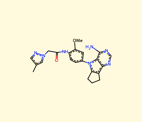 COc1cc(-n2c3c(c4ncnc(N)c42)CCC3)ccc1NC(=O)Cn1cc(C)cn1